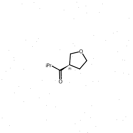 CC(C)C(=O)[C@@H]1CCOC1